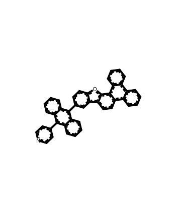 c1ccc2c(-c3ccc4oc5c(ccc6c7ccccc7c7ccccc7c65)c4c3)c3ccccc3c(-c3ccncc3)c2c1